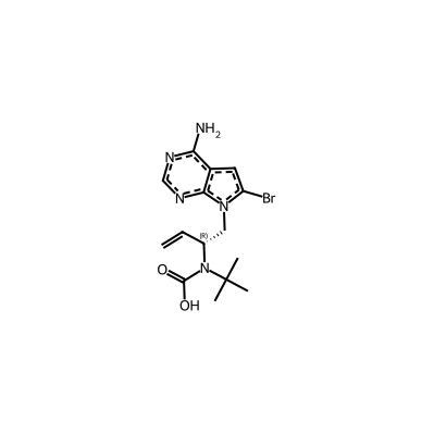 C=C[C@H](Cn1c(Br)cc2c(N)ncnc21)N(C(=O)O)C(C)(C)C